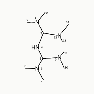 CN(C)C(NC(N(C)C)N(C)C)N(C)C